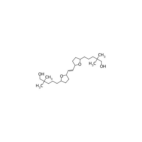 CC(C)(CO)CCCC1CCC(C=CC2CCC(CCCC(C)(C)CO)O2)O1